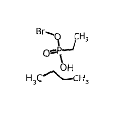 CCCC.CCP(=O)(O)OBr